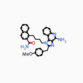 COc1ccc(Cc2nc3c(N)nc4ccccc4c3n2CCCCc2c(C(N)=O)ccc3ccccc23)cc1